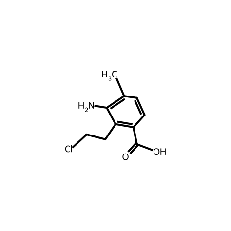 Cc1ccc(C(=O)O)c(CCCl)c1N